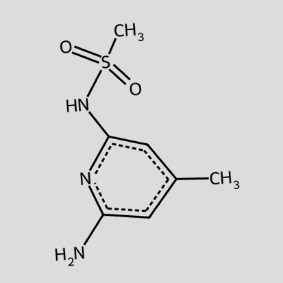 Cc1cc(N)nc(NS(C)(=O)=O)c1